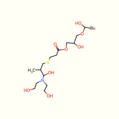 CCC(C)C(O)OCC(O)COC(=O)CCSCC(C)C(O)N(CCO)CCO